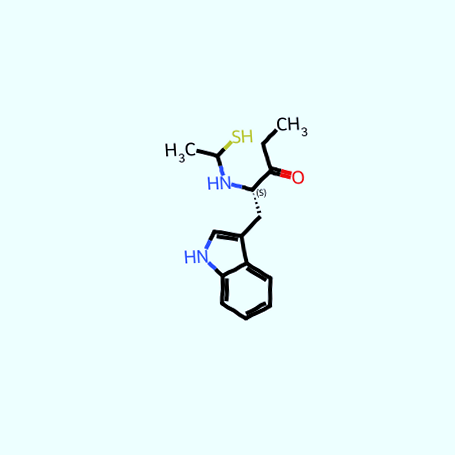 CCC(=O)[C@H](Cc1c[nH]c2ccccc12)NC(C)S